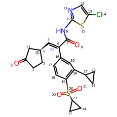 O=C1CC[C@H](/C=C(/C(=O)Nc2ncc(Cl)s2)c2ccc(S(=O)(=O)C3CC3)c(C3CC3)c2)C1